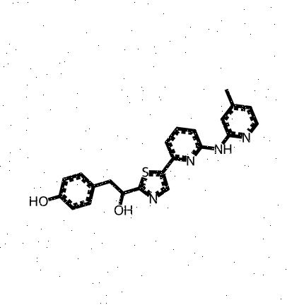 Cc1ccnc(Nc2cccc(-c3cnc(C(O)Cc4ccc(O)cc4)s3)n2)c1